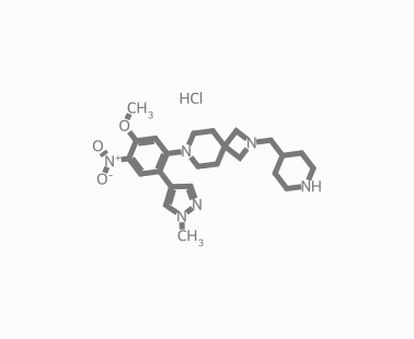 COc1cc(N2CCC3(CC2)CN(CC2CCNCC2)C3)c(-c2cnn(C)c2)cc1[N+](=O)[O-].Cl